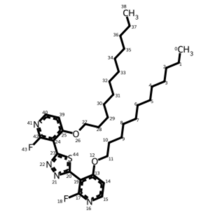 CCCCCCCCCCCCOc1ccnc(F)c1-c1nnc(-c2c(OCCCCCCCCCCCC)ccnc2F)s1